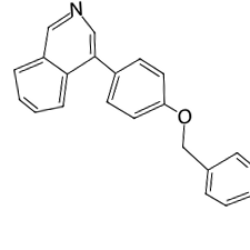 c1ccc(COc2ccc(-c3cncc4ccccc34)cc2)cc1